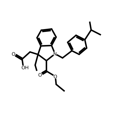 CCOC(=O)C1N(Cc2ccc(C(C)C)cc2)c2ccccc2C1(CC)CC(=O)O